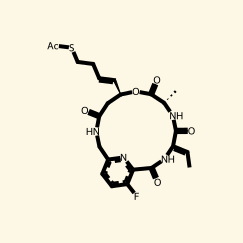 C/C=C1\NC(=O)c2nc(ccc2F)CNC(=O)C[C@@H](/C=C/CCSC(C)=O)OC(=O)[C@H](C)NC1=O